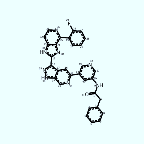 O=C(Cc1ccccc1)Nc1cncc(-c2cc3c(-c4nc5c(-c6ccccc6F)nccc5[nH]4)n[nH]c3cn2)c1